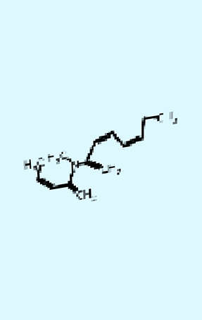 C=C(/C=C\C)N(C)C(=C)/C=C\C=C/CC